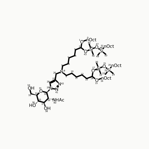 CCCCCCCCOC(CCCCCN(CCCCCC(OCCCCCCCC)O[Si](C)(C)O[Si](C)(C)CCCCCCCC)Cc1cn([C@@H]2O[C@H](CO)[C@@H](O)[C@H](O)[C@H]2NC(C)=O)nn1)O[Si](C)(C)O[Si](C)(C)CCCCCCCC